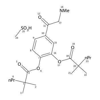 CCCC(C)(C)C(=O)Oc1ccc(C(=O)CNC)cc1OC(=O)C(C)(C)CCC.CS(=O)(=O)O